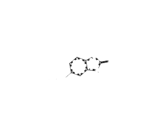 CCCCCc1ccc2sc(=O)[nH]c2c1